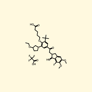 CCOC1CCN(c2cc(C(=O)CN3Cc4cc(OC)c(OC)c(F)c4C3=N)cc(C(C)(C)C)c2OCCCCC(=O)O)C1.O=C(O)C(F)(F)F